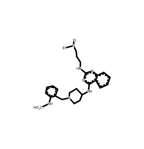 CCN(CC)CCCNc1nc(NC2CCN(Cc3ccccc3NC(=O)O)CC2)c2ccccc2n1